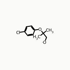 CC(C)(C[O])Oc1ccc(Cl)cc1